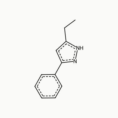 CCc1cc(-c2ccccc2)n[nH]1